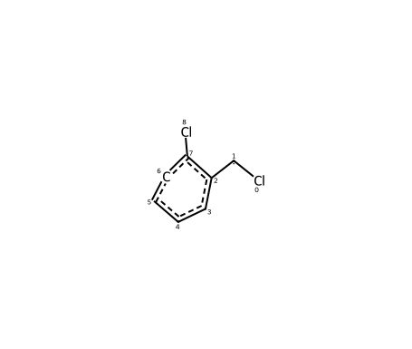 Cl[CH]c1ccccc1Cl